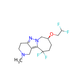 CN1CCc2nn3c(c2C1)C(F)(F)CC[C@H](OCC(F)F)C3